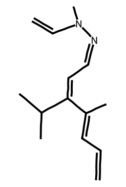 C=C/C=C(C)/C(=C\C=N/N(C)C=C)C(C)C